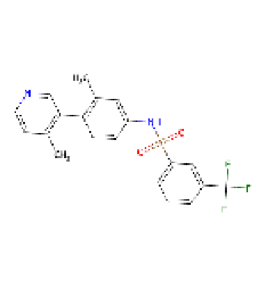 Cc1cc(NS(=O)(=O)c2cccc(C(F)(F)F)c2)ccc1-c1cnccc1C